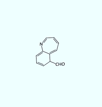 O=CC1C=CC=C2N=CC=CC=C21